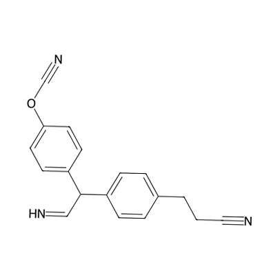 N#CCCc1ccc(C(C=N)c2ccc(OC#N)cc2)cc1